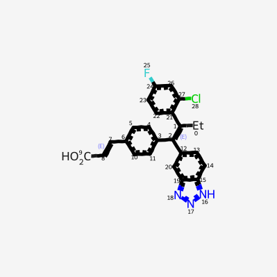 CC/C(=C(/c1ccc(/C=C/C(=O)O)cc1)c1ccc2[nH]nnc2c1)c1ccc(F)cc1Cl